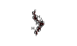 Cc1nc2n(c(=O)c1CCN1CCC(c3noc4cc(F)ccc34)CC1)CCCC2OC(=O)CCCC(=O)NCCCCC(NC(=O)CCCC(=O)OC1CCCn2c1nc(C)c(CCN1CCC(c3noc4cc(F)ccc34)CC1)c2=O)C(=O)Oc1c(F)c(F)c(F)c(F)c1F